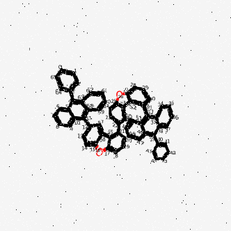 c1ccc(-c2c3ccccc3c(-c3ccc4oc5cccc(-c6ccc7oc8cccc(-c9c%10ccccc%10c(-c%10ccccc%10)c%10ccccc9%10)c8c7c6)c5c4c3)c3ccccc23)cc1